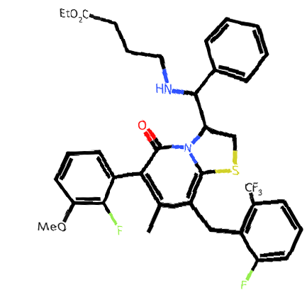 CCOC(=O)CCCNC(c1ccccc1)C1CSc2c(Cc3c(F)cccc3C(F)(F)F)c(C)c(-c3cccc(OC)c3F)c(=O)n21